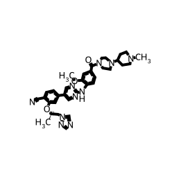 COc1cc(C(=O)N2CCN(C3CCN(C)CC3)CC2)ccc1Nc1ncc(-c2ccc(C#N)c(O[C@@H](C)Cn3cncn3)c2)cn1